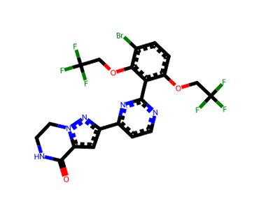 O=C1NCCn2nc(-c3ccnc(-c4c(OCC(F)(F)F)ccc(Br)c4OCC(F)(F)F)n3)cc21